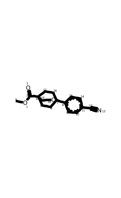 COC(=O)C12CCC(c3ccc(C#N)cc3)(CC1)CC2